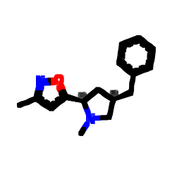 Cc1cc([C@H]2C[C@@H](Cc3ccccc3)CN2C)on1